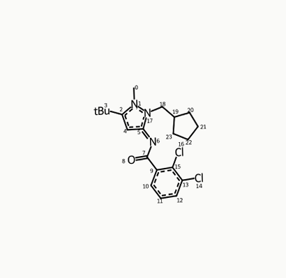 Cn1c(C(C)(C)C)c/c(=N\C(=O)c2cccc(Cl)c2Cl)n1CC1CCCC1